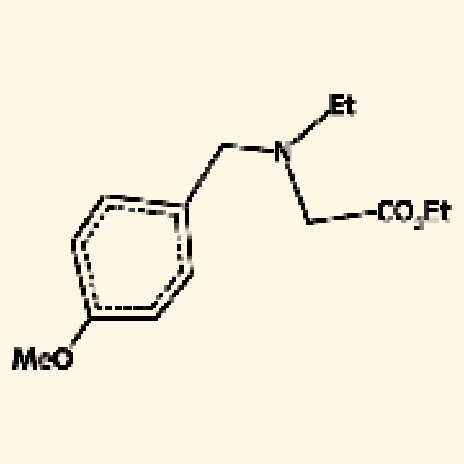 CCOC(=O)CN(CC)Cc1ccc(OC)cc1